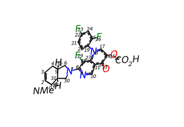 CN[C@@H]1C=CC[C@@H]2CN(c3ncc4c(=O)c(OC(=O)O)cn(-c5ccc(F)cc5F)c4c3F)C[C@@H]21